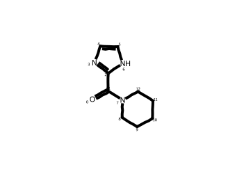 O=C(c1ncc[nH]1)N1CCCCC1